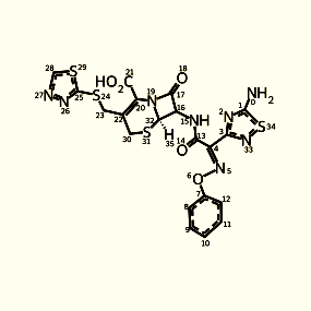 Nc1nc(/C(=N/Oc2ccccc2)C(=O)NC2C(=O)N3C(C(=O)O)=C(CSc4nncs4)CS[C@H]23)ns1